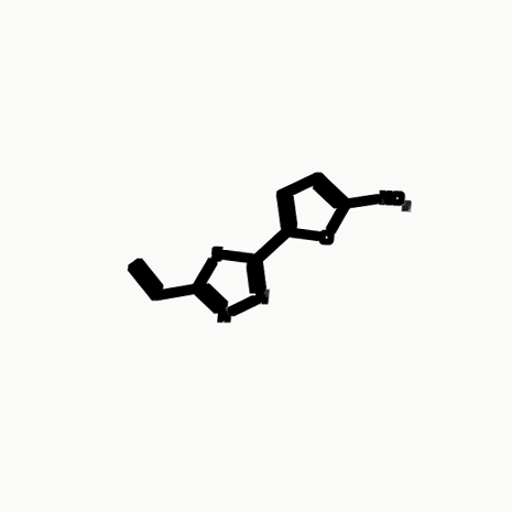 C=Cc1nnc(-c2ccc([N+](=O)[O-])o2)s1